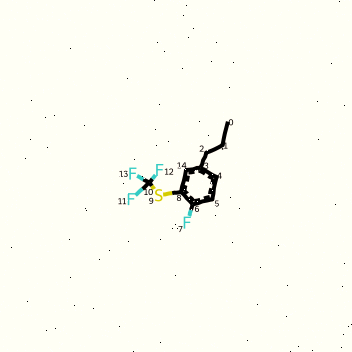 C[CH]Cc1ccc(F)c(SC(F)(F)F)c1